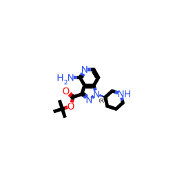 CC(C)(C)OC(=O)c1nn([C@@H]2CCCNC2)c2ccnc(N)c12